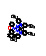 CC(C)(C)c1ccc(N2c3ccc(C(C)(C)C)cc3B3c4cc(C(C)(C)C)ccc4N(c4ccc(C(C)(C)C)cc4)c4nc(N5c6ccccc6Oc6cc7c(cc65)C(C)(C)CCC7(C)C)nc2c43)cc1